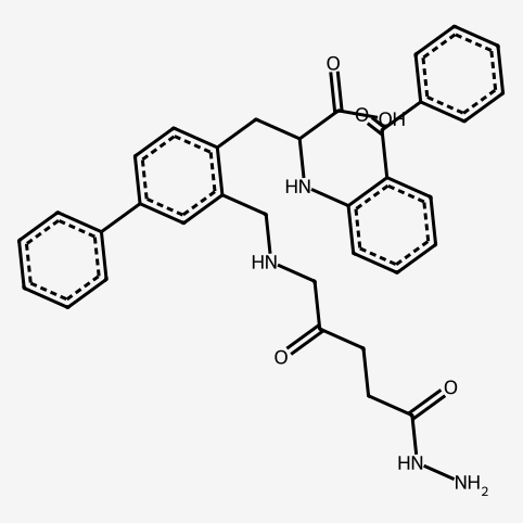 NNC(=O)CCC(=O)CNCc1cc(-c2ccccc2)ccc1CC(Nc1ccccc1C(=O)c1ccccc1)C(=O)O